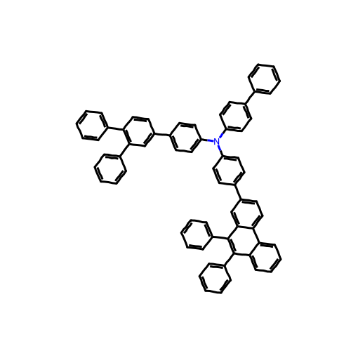 c1ccc(-c2ccc(N(c3ccc(-c4ccc(-c5ccccc5)c(-c5ccccc5)c4)cc3)c3ccc(-c4ccc5c(c4)c(-c4ccccc4)c(-c4ccccc4)c4ccccc45)cc3)cc2)cc1